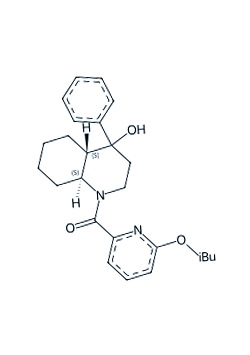 CCC(C)Oc1cccc(C(=O)N2CCC(O)(c3ccccc3)[C@H]3CCCC[C@@H]32)n1